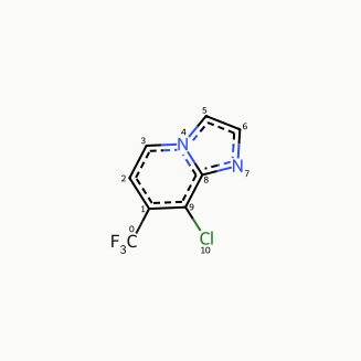 FC(F)(F)c1ccn2ccnc2c1Cl